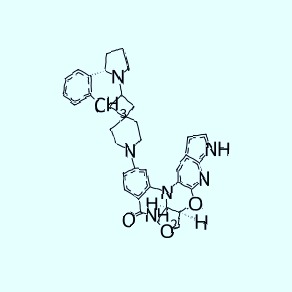 Cc1ccccc1[C@@H]1CCCN1C1CC2(CCN(c3ccc(C(N)=O)c(N4c5cc6cc[nH]c6nc5O[C@H]5COC[C@H]54)c3)CC2)C1